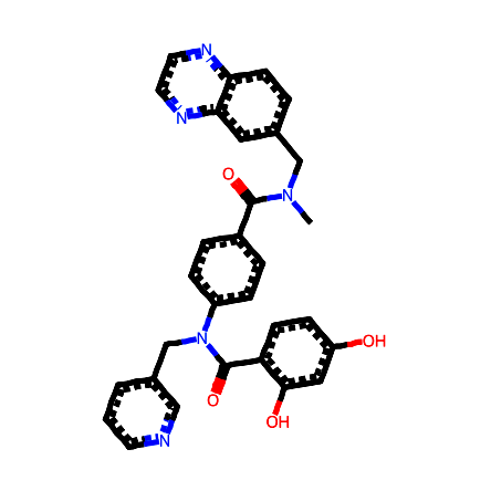 CN(Cc1ccc2nccnc2c1)C(=O)c1ccc(N(Cc2cccnc2)C(=O)c2ccc(O)cc2O)cc1